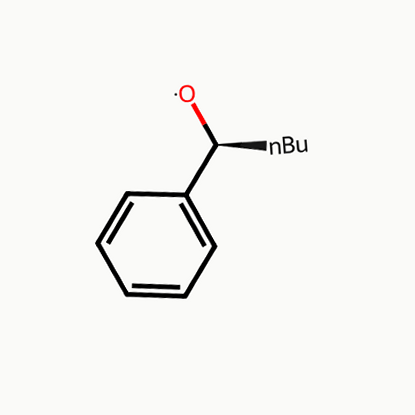 CCCC[C@H]([O])c1ccccc1